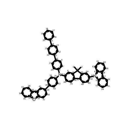 CC1(C)c2cc(N(c3ccc(-c4ccc(-c5ccccc5)cc4)cc3)c3ccc(-c4ccc5oc6ccccc6c5c4)cc3)ccc2-c2ccc(-n3c4ccccc4c4ccccc43)cc21